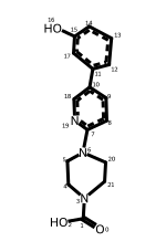 O=C(O)N1CCN(c2ccc(-c3cccc(O)c3)cn2)CC1